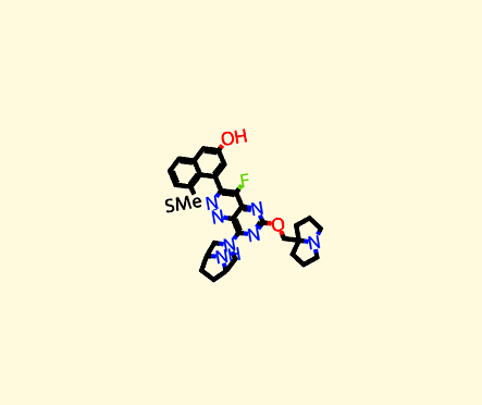 CSc1cccc2cc(O)cc(-c3nnc4c(N5CC6CCC(C5)N6)nc(OCC56CCCN5CCC6)nc4c3F)c12